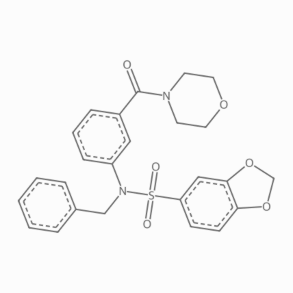 O=C(c1cccc(N(Cc2ccccc2)S(=O)(=O)c2ccc3c(c2)OCO3)c1)N1CCOCC1